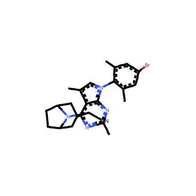 Cc1nc(N2C3CCC2CC(CC#N)C3)c2c(C)cn(-c3c(C)cc(Br)cc3C)c2n1